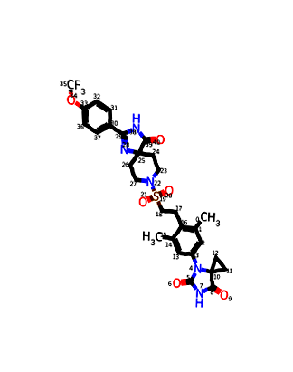 Cc1cc(N2C(=O)NC(=O)C23CC3)cc(C)c1CCS(=O)(=O)N1CCC2(CC1)N=C(c1ccc(OC(F)(F)F)cc1)NC2=O